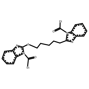 CCC(=O)n1c(CCCCCSc2nc3ccccc3n2C(=O)CC)nc2ccccc21